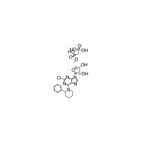 O=P(O)(O)CP(=O)(O)OC[C@H]1O[C@@H](n2cnc3c(N4CCCCC4c4ccccc4)nc(Cl)nc32)[C@@H](O)C1O